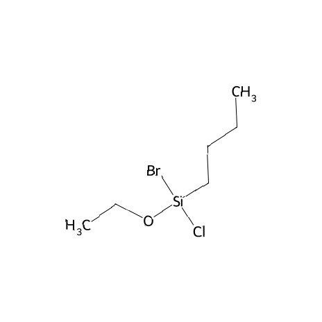 CCCC[Si](Cl)(Br)OCC